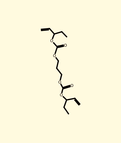 C=CC(CC)OC(=O)OCCCOC(=O)OC(C=C)CC